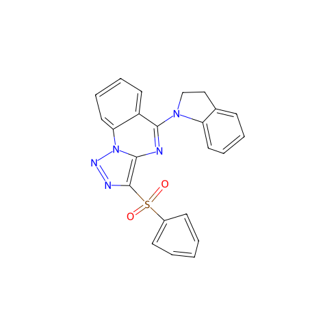 O=S(=O)(c1ccccc1)c1nnn2c1nc(N1CCc3ccccc31)c1ccccc12